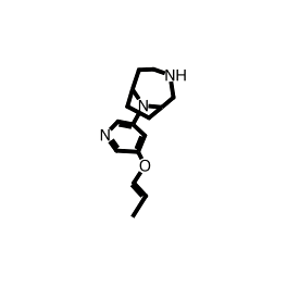 CC=COc1cncc(N2C3CCNCC2CC3)c1